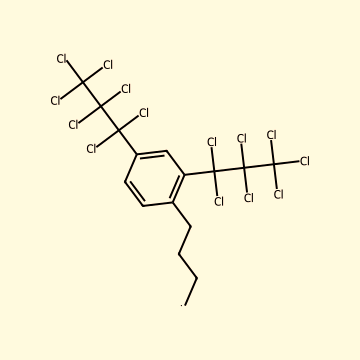 [CH2]CCCc1ccc(C(Cl)(Cl)C(Cl)(Cl)C(Cl)(Cl)Cl)cc1C(Cl)(Cl)C(Cl)(Cl)C(Cl)(Cl)Cl